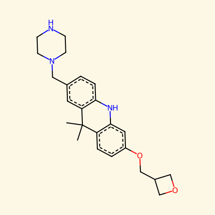 CC1(C)c2ccc(OCC3COC3)cc2Nc2ccc(CN3CCNCC3)cc21